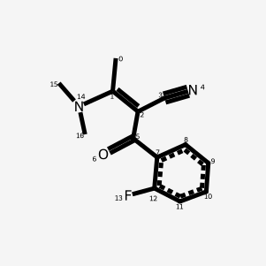 CC(=C(C#N)C(=O)c1ccccc1F)N(C)C